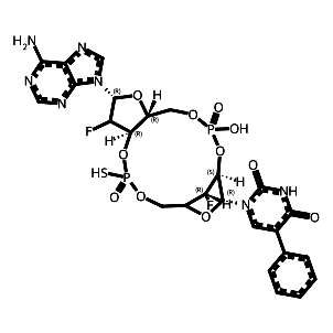 Nc1ncnc2c1ncn2[C@@H]1O[C@@H]2COP(=O)(O)O[C@@H]3[C@H](F)C(COP(=O)(S)O[C@H]2C1F)O[C@H]3n1cc(-c2ccccc2)c(=O)[nH]c1=O